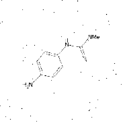 CNC(=S)Nc1ccc(N)cc1